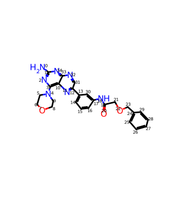 Nc1nc(N2CCOCC2)c2nc(-c3cccc(NC(=O)COCc4ccccc4)c3)cnc2n1